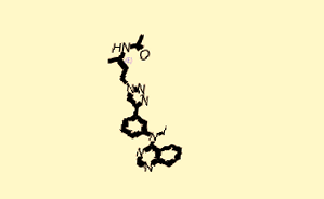 CC(=O)N/C(C)=C/Cn1cc(-c2cccc(N(I)c3ncnc4ccccc34)c2)nn1